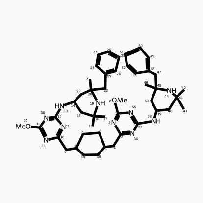 COc1nc(CC2CCC(Cc3nc(NC4CC(C)(C)NC(C)(Cc5ccccc5)C4)nc(OC)n3)CC2)nc(NC2CC(C)(C)NC(C)(Cc3ccccc3)C2)n1